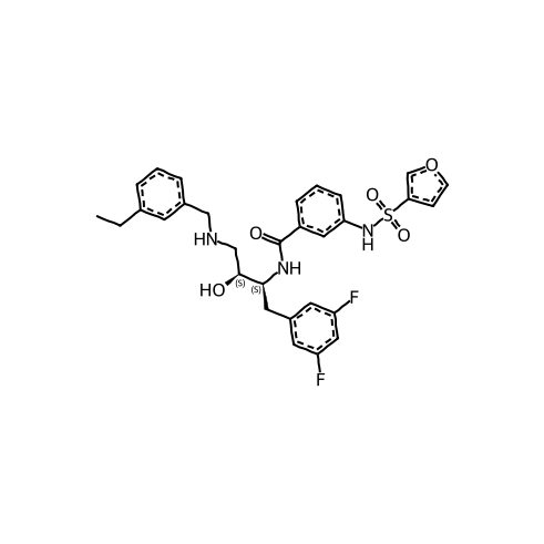 CCc1cccc(CNC[C@H](O)[C@H](Cc2cc(F)cc(F)c2)NC(=O)c2cccc(NS(=O)(=O)c3ccoc3)c2)c1